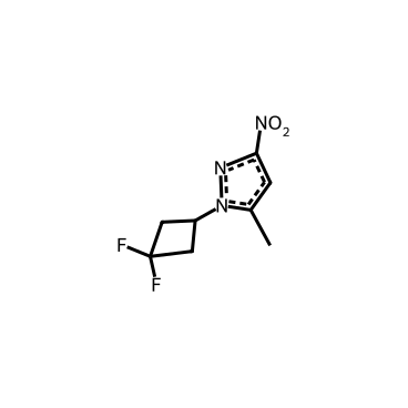 Cc1cc([N+](=O)[O-])nn1C1CC(F)(F)C1